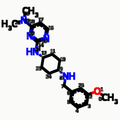 COc1cccc(CN[C@H]2CC[C@@H](Nc3nccc(N(C)C)n3)CC2)c1